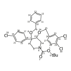 CC(C)(C)OC(=O)N1CCC(OCc2ccccc2)(c2ccc(Cl)cc2)C(OCc2ccc(Cl)c(Cl)c2)C1